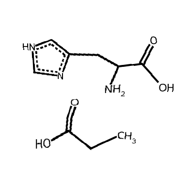 CCC(=O)O.NC(Cc1c[nH]cn1)C(=O)O